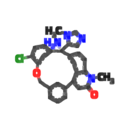 Cn1cncc1[C@]1(N)c2ccc(Cl)c(c2)OCc2cccc(c2)-c2cc(=O)n(C)c3ccc1cc23